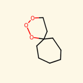 C1CCCC2(CC1)CCOOO2